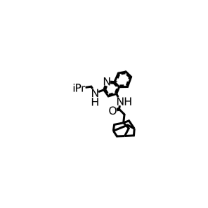 CC(C)CNc1cc(NC(=O)CC23CC4CC(CC(C4)C2)C3)c2ccccc2n1